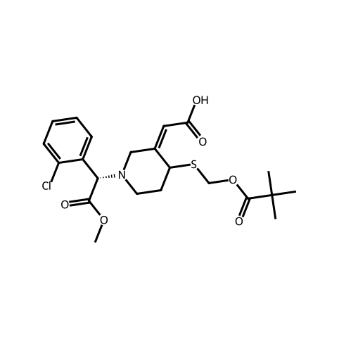 COC(=O)[C@H](c1ccccc1Cl)N1CCC(SCOC(=O)C(C)(C)C)/C(=C\C(=O)O)C1